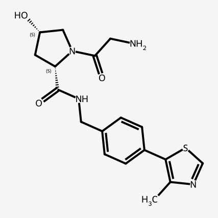 Cc1ncsc1-c1ccc(CNC(=O)[C@@H]2C[C@H](O)CN2C(=O)CN)cc1